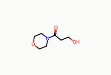 O=C(CCO)N1CCOCC1